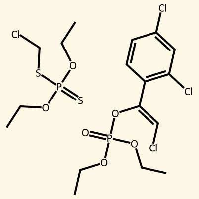 CCOP(=O)(OCC)O/C(=C\Cl)c1ccc(Cl)cc1Cl.CCOP(=S)(OCC)SCCl